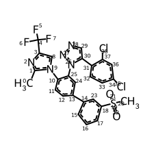 Cc1nc(C(F)(F)F)cn1-c1ccc(-c2cccc(S(C)(=O)=O)c2)cc1-n1nncc1-c1ccc(Cl)cc1Cl